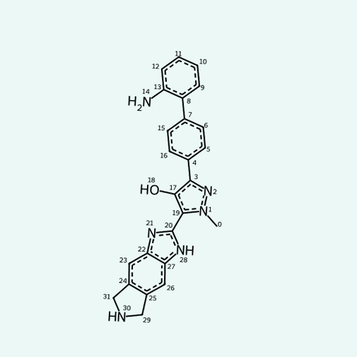 Cn1nc(-c2ccc(-c3ccccc3N)cc2)c(O)c1-c1nc2cc3c(cc2[nH]1)CNC3